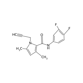 C#CCn1c(C)cc(C)c1C(=O)Nc1ccc(F)c(F)c1